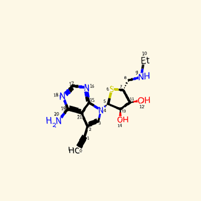 C#Cc1cn([C@@H]2S[C@H](CNCC)[C@@H](O)[C@H]2O)c2ncnc(N)c12